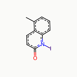 Cc1cccc2c1ccc(=O)n2I